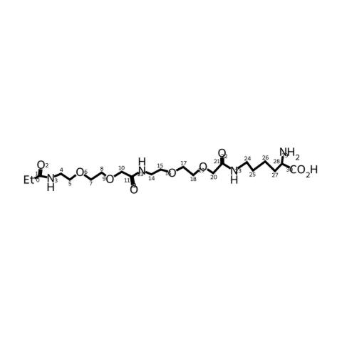 CCC(=O)NCCOCCOCC(=O)NCCOCCOCC(=O)NCCCCC(N)C(=O)O